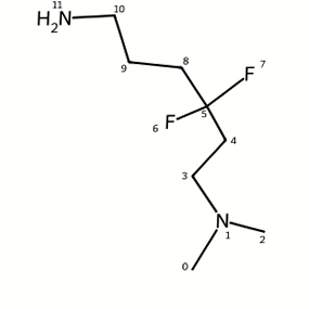 CN(C)CCC(F)(F)CCCN